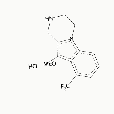 COc1c2n(c3cccc(C(F)(F)F)c13)CCNC2.Cl